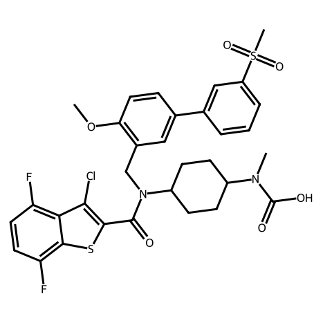 COc1ccc(-c2cccc(S(C)(=O)=O)c2)cc1CN(C(=O)c1sc2c(F)ccc(F)c2c1Cl)C1CCC(N(C)C(=O)O)CC1